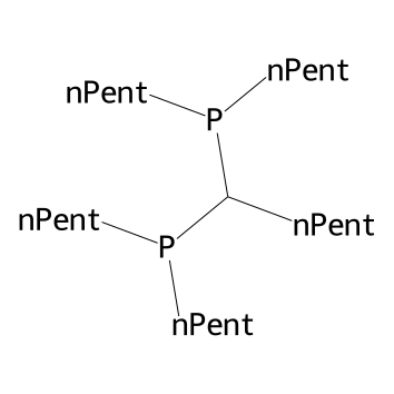 CCCCCC(P(CCCCC)CCCCC)P(CCCCC)CCCCC